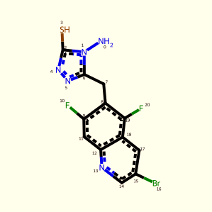 Nn1c(S)nnc1Cc1c(F)cc2ncc(Br)cc2c1F